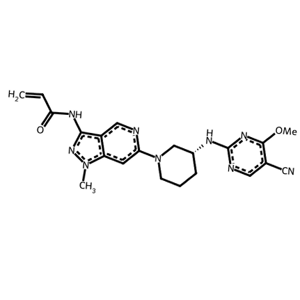 C=CC(=O)Nc1nn(C)c2cc(N3CCC[C@@H](Nc4ncc(C#N)c(OC)n4)C3)ncc12